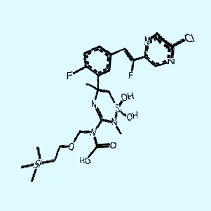 CN1C(N(COCC[Si](C)(C)C)C(=O)O)=NC(C)(c2cc(C=C(F)c3cnc(Cl)cn3)ccc2F)CS1(O)O